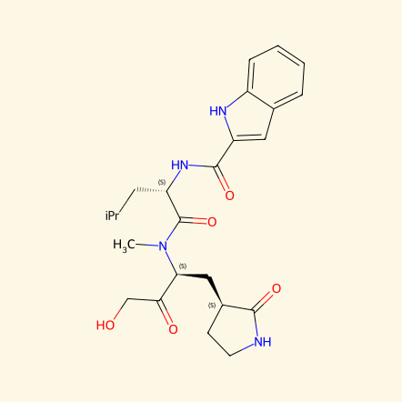 CC(C)C[C@H](NC(=O)c1cc2ccccc2[nH]1)C(=O)N(C)[C@@H](C[C@@H]1CCNC1=O)C(=O)CO